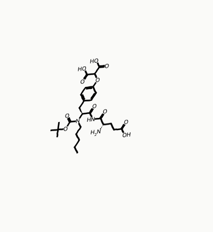 CCCCCN(C(=O)OC(C)(C)C)[C@@H](Cc1ccc(OC(C(=O)O)C(=O)O)cc1)C(=O)NC(=O)[C@@H](N)CCC(=O)O